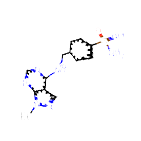 CCn1ncc2c(NCc3ccc(S(=N)(N)=O)cc3)ncnc21